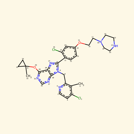 Cc1c(Cl)ccnc1Cn1c(-c2ccc(OCCN3CCNCC3)cc2Cl)nc2c(OC3(C)CC3)ncnc21